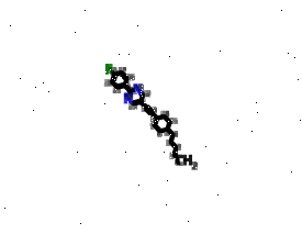 C=CCCCC1CCC(C#Cc2cnc(-c3ccc(F)cc3)nc2)CC1